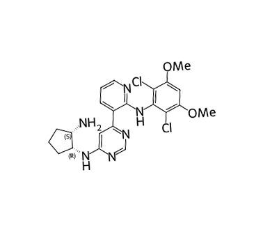 COc1cc(OC)c(Cl)c(Nc2ncccc2-c2cc(N[C@@H]3CCC[C@@H]3N)ncn2)c1Cl